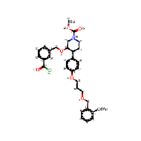 COc1ccccc1COCCCOc1ccc(C2CCN(C(=O)OC(C)(C)C)CC2OCc2cccc(C(=O)Cl)c2)cc1